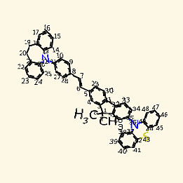 CC1(C)c2cc(/C=C/c3ccc(N4c5ccccc5CCc5ccccc54)cc3)ccc2-c2ccc(N3c4ccccc4Sc4ccccc43)cc21